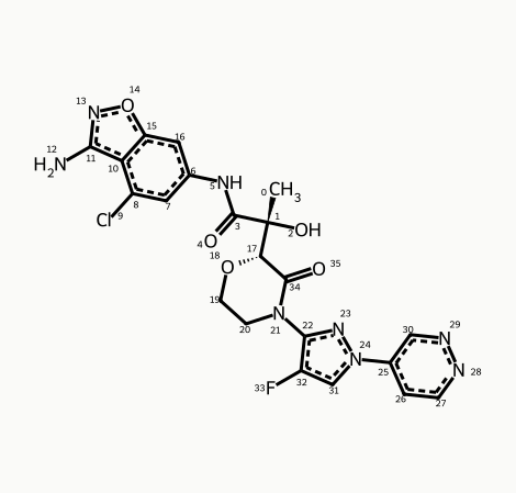 C[C@](O)(C(=O)Nc1cc(Cl)c2c(N)noc2c1)[C@H]1OCCN(c2nn(-c3ccnnc3)cc2F)C1=O